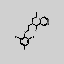 CCCN(CCOc1c(Cl)cc(Cl)cc1Cl)C(=O)c1cnccn1